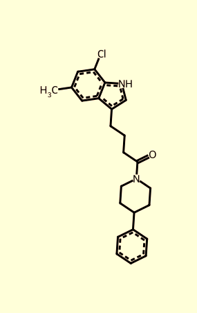 Cc1cc(Cl)c2[nH]cc(CCCC(=O)N3CCC(c4ccccc4)CC3)c2c1